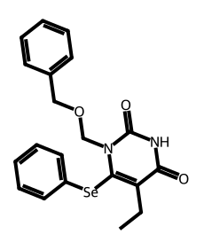 CCc1c([Se]c2ccccc2)n(COCc2ccccc2)c(=O)[nH]c1=O